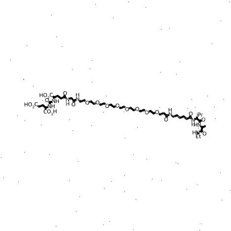 CCNC(=O)C(C)NC(=O)C(NC(=O)CCCCCNC(=O)CCOCCOCCOCCOCCOCCOCCOCCOCCNC(=O)CNC(=O)CCC(NC(=O)NC(CCC(=O)O)C(=O)O)C(=O)O)C(C)C